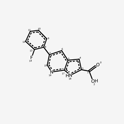 O=C(O)c1cc2cc(-c3ccccc3F)cnc2[nH]1